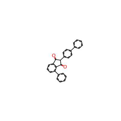 O=C1c2cccc(-c3ccccc3)c2C(=O)C1c1ccc(-c2ccccc2)cc1